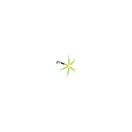 CC(C)S(F)(F)(F)(F)F